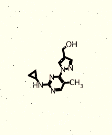 Cc1cnc(NC2CC2)nc1-n1cc(CO)cn1